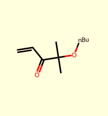 C=CC(=O)C(C)(C)OCCCC